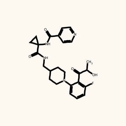 CC(O)C(=O)c1c(F)cccc1N1CCC(CNC(=O)C2(NC(=O)c3ccncc3)CC2)CC1